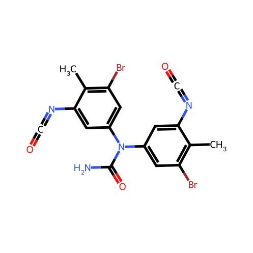 Cc1c(Br)cc(N(C(N)=O)c2cc(Br)c(C)c(N=C=O)c2)cc1N=C=O